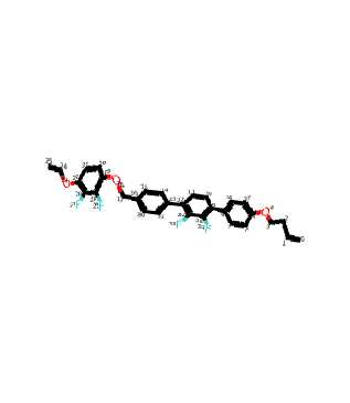 CCCCOc1ccc(-c2ccc(-c3ccc(COc4ccc(OCC)c(F)c4F)cc3)c(F)c2F)cc1